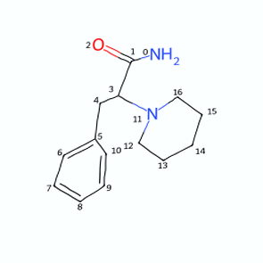 NC(=O)C(Cc1ccccc1)N1CCCCC1